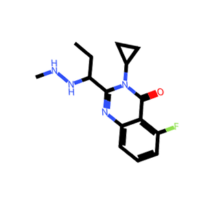 CCC(NNC)c1nc2cccc(F)c2c(=O)n1C1CC1